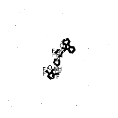 O=C(NC1CCN(CCCCC2(C(=O)NCC(F)(F)F)c3ccccc3-c3ccccc32)CC1)c1c(C(F)(F)F)cccc1C(F)(F)F